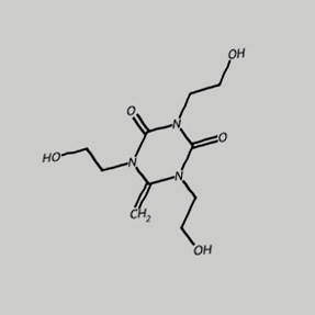 C=C1N(CCO)C(=O)N(CCO)C(=O)N1CCO